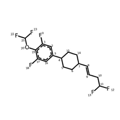 Fc1cc(C2CCC(/C=C/CC(F)F)CC2)cc(F)c1OC(F)F